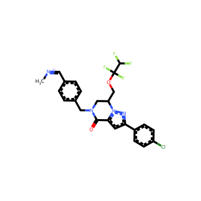 C/N=C\c1ccc(CN2CC(COC(F)(F)C(F)F)n3nc(-c4ccc(Cl)cc4)cc3C2=O)cc1